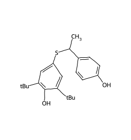 CC(Sc1cc(C(C)(C)C)c(O)c(C(C)(C)C)c1)c1ccc(O)cc1